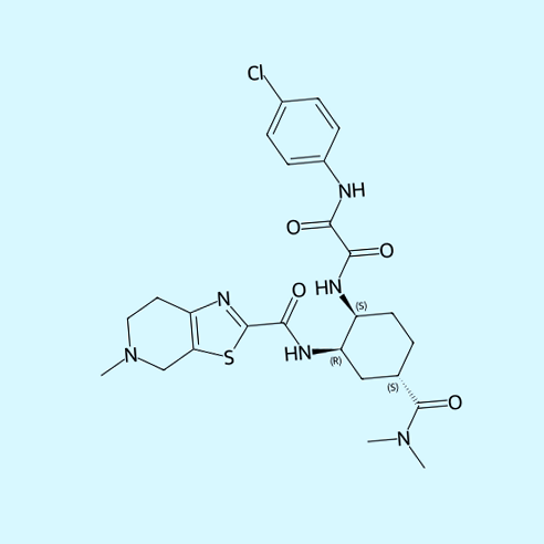 CN1CCc2nc(C(=O)N[C@@H]3C[C@@H](C(=O)N(C)C)CC[C@@H]3NC(=O)C(=O)Nc3ccc(Cl)cc3)sc2C1